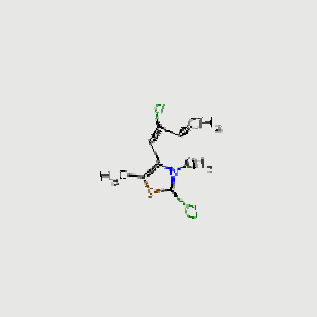 C=C/C(Cl)=C\C1=C(C)SC(Cl)N1C